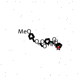 COc1ccc(COC[C@H]2COc3cc(C(=O)N[C@H]4CN5CCC4CC5)ccc3O2)cc1